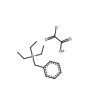 CC[N+](CC)(CC)Cc1ccccc1.O=C([O-])C(=O)O